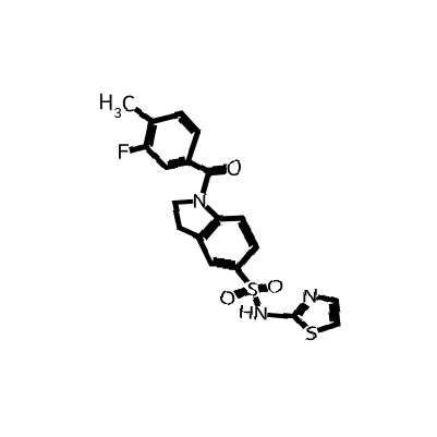 Cc1ccc(C(=O)N2CCc3cc(S(=O)(=O)Nc4nccs4)ccc32)cc1F